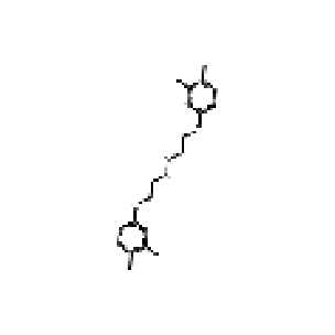 Cc1ccc(OCCSSCCOc2ccc(C)c(C)c2)cc1C